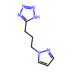 [c]1cnn(CCCc2nnn[nH]2)c1